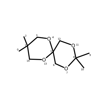 CC1(C)COC2(COC(C)(C)OC2)OC1